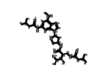 CNc1nc(NC(=O)CC(C)C)nc2c1ncn2[C@H]1CC(OC(=O)[C@@H](COC(=O)CC(C)C)[C@@H](C)[C@@H](C)F)CO1